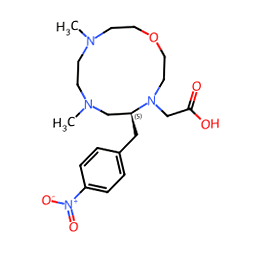 CN1CCOCCN(CC(=O)O)[C@@H](Cc2ccc([N+](=O)[O-])cc2)CN(C)CC1